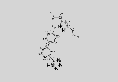 CCCc1nc(C(C)CC)n(Cc2ccc(-c3cccc(-c4nnn[nH]4)c3)cc2)n1